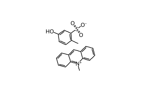 C[n+]1c2ccccc2cc2ccccc21.Cc1ccc(O)cc1S(=O)(=O)[O-]